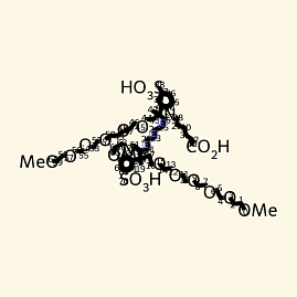 COCCOCCOCCOCCOCCOCCC1(C)C(/C=C/C=C/C=C2/N(CCCCCC(=O)O)c3ccc(S(=O)(=O)O)cc3C2(C)CCOCCOCCOCCOCCOCCOC)=CN(CCOC)c2ccc(S(=O)(=O)O)cc21